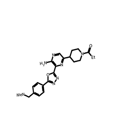 CCC(=O)N1CCC(c2cnc(N)c(-c3nnc(-c4ccc(CNC)cc4)o3)n2)CC1